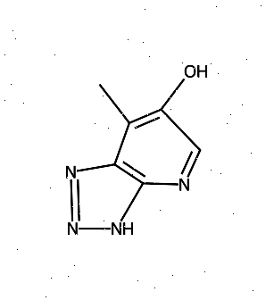 Cc1c(O)cnc2[nH]nnc12